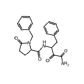 NC(=O)C(=O)C(Cc1ccccc1)NC(=O)C1CCC(=O)N1Cc1ccccc1